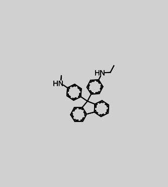 CCNc1ccc(C2(c3ccc(NC)cc3)c3ccccc3-c3ccccc32)cc1